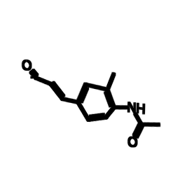 CC(=O)Nc1ccc(C=C[C]=O)cc1C